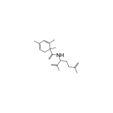 C=C(C)CCC(NC(=C)C1(C)CC=C(C)C=C1C)C(=C)C